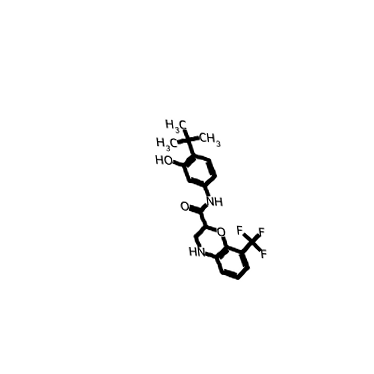 CC(C)(C)c1ccc(NC(=O)C2CNc3cccc(C(F)(F)F)c3O2)cc1O